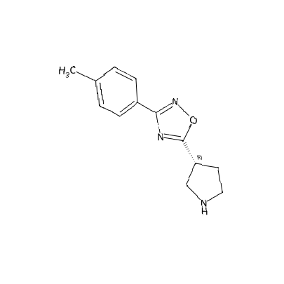 Cc1ccc(-c2noc([C@@H]3CCNC3)n2)cc1